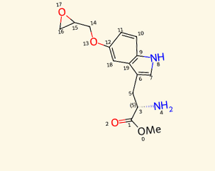 COC(=O)[C@@H](N)Cc1c[nH]c2ccc(OCC3CO3)cc12